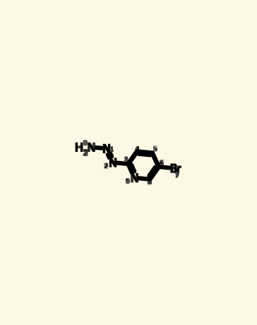 NN=Nc1ccc(Br)cn1